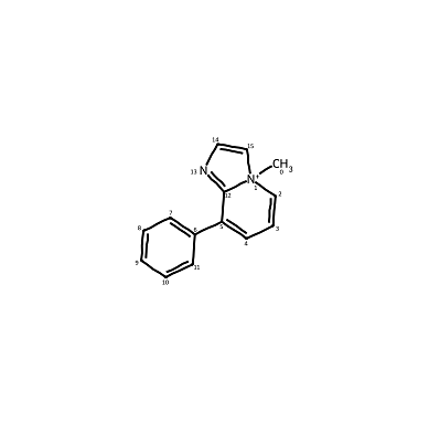 C[N+]12C=CC=C(c3ccccc3)C1=NC=C2